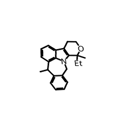 CCC1(C)OCCc2c1n1c3c(cccc23)C(C)c2ccccc2C1